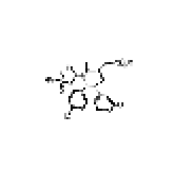 CC(C)C(CS(=O)(=O)C(C)C)N1C(=O)[C@@H](CC(=O)O)C[C@H](c2cccc(Cl)c2)[C@H]1c1ccc(Cl)cc1